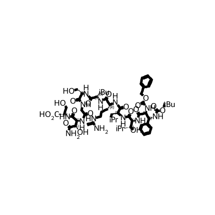 C=C(N)NCCC[C@@H](NC(=O)[C@H](CC(C)C)NC(=O)[C@@H](NC(=O)[C@@H](NC(=O)OCc1ccccc1)[C@H](NC(=O)OC(C)(C)C)c1ccccc1)[C@H](O)C(C)C)C(=O)N[C@H](C(=O)N[C@@H](CO)C(=O)NCC(=O)N[C@H](C(=O)N[C@@H](CO)C(=O)O)[C@H](O)C(N)=O)[C@@H](C)CC